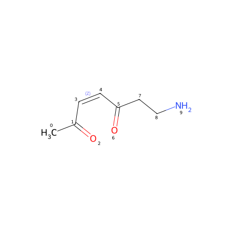 CC(=O)/C=C\C(=O)CCN